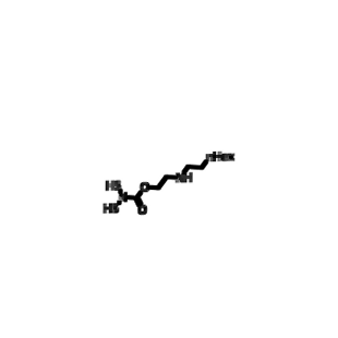 CCCCCCCCNCCOC(=O)N(S)S